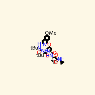 COc1ccc2c(O[C@@H]3C[C@@H](C(=O)N[C@@H](CC(C)C)C(=O)C(=O)NC4CC4)N(C(=O)[C@@H](NC(=O)NC(C)(C)C)C(C)(C)C)C3)nccc2c1